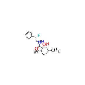 CC1CCC(C(C)C)[C@@](O)(C(=O)NC[C@@H](F)c2ccccc2)C1